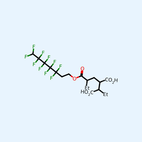 CCC(CC(C(=O)O)C(CC)C(=O)O)C(=O)OCCC(F)(F)C(F)(F)C(F)(F)C(F)(F)C(F)F